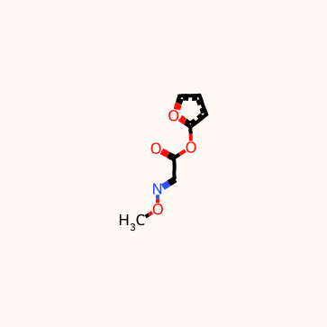 CON=CC(=O)Oc1ccco1